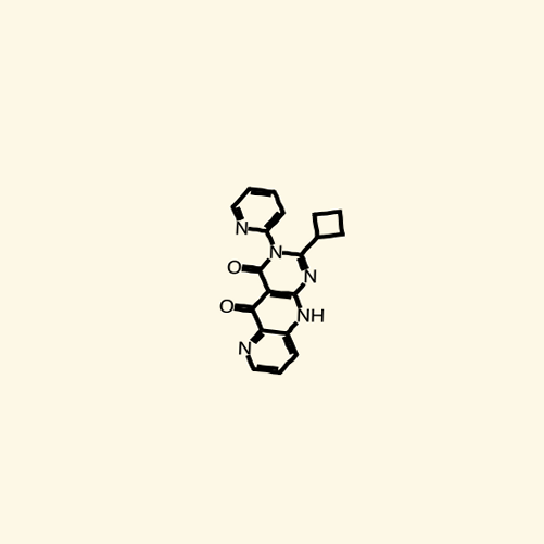 O=c1c2ncccc2[nH]c2nc(C3CCC3)n(-c3ccccn3)c(=O)c12